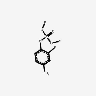 Cc1ccc(OP(=O)(OF)OF)c(F)c1